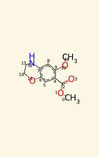 COC(=O)c1cc2c(cc1OC)NCCO2